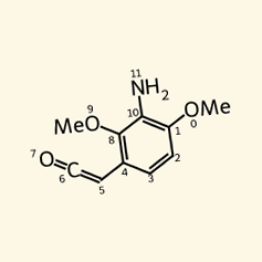 COc1ccc(C=C=O)c(OC)c1N